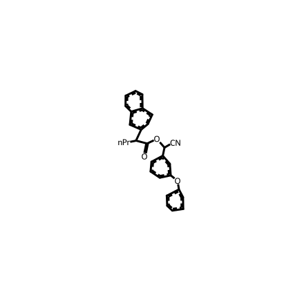 CCCC(C(=O)OC(C#N)c1cccc(Oc2ccccc2)c1)c1ccc2ccccc2c1